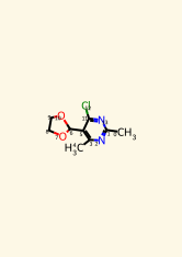 Cc1nc(C)c(C2OCCO2)c(Cl)n1